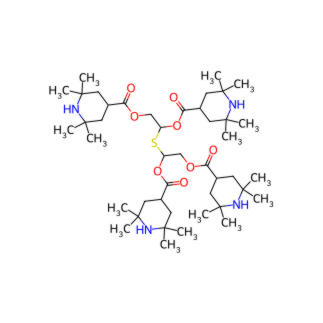 CC1(C)CC(C(=O)OCC(OC(=O)C2CC(C)(C)NC(C)(C)C2)SC(COC(=O)C2CC(C)(C)NC(C)(C)C2)OC(=O)C2CC(C)(C)NC(C)(C)C2)CC(C)(C)N1